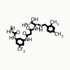 CCC[C@H](O)[C@H](CNCc1ccc(C)cc1C)NC(=O)CC(=O)Nc1cc(NC(=O)NCC)cc(C(F)(F)F)c1